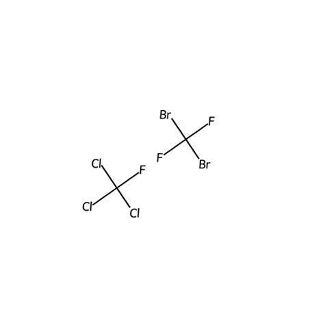 FC(Cl)(Cl)Cl.FC(F)(Br)Br